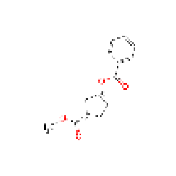 COC(=O)[C@H]1CC[C@@H](OC(=O)c2ccccc2)C1